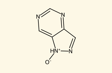 [O-][NH+]1N=Cc2ncncc21